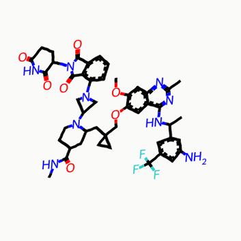 CNC(=O)C1CCN(C2CN(c3cccc4c3C(=O)N(C3CCC(=O)NC3=O)C4=O)C2)C(CC2(COc3cc4c(NC(C)c5cc(N)cc(C(F)(F)F)c5)nc(C)nc4cc3OC)CC2)C1